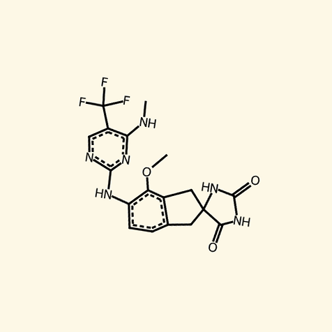 CNc1nc(Nc2ccc3c(c2OC)CC2(C3)NC(=O)NC2=O)ncc1C(F)(F)F